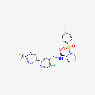 O=C(NCc1cc(-c2cnc(C(F)(F)F)nc2)ncc1F)[C@@H]1CCCCN1S(=O)(=O)c1ccc(F)cc1